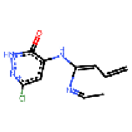 C=C/C=C(\N=C/C)Nc1cc(Cl)n[nH]c1=O